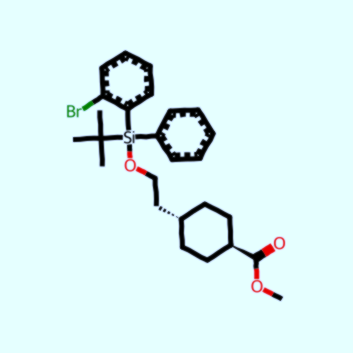 COC(=O)[C@H]1CC[C@H](CCO[Si](c2ccccc2)(c2ccccc2Br)C(C)(C)C)CC1